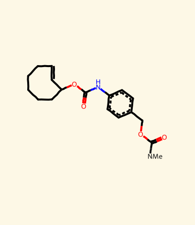 CNC(=O)OCc1ccc(NC(=O)OC2/C=C/CCCCC2)cc1